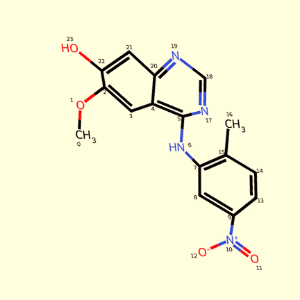 COc1cc2c(Nc3cc([N+](=O)[O-])ccc3C)ncnc2cc1O